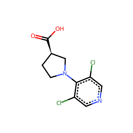 O=C(O)[C@@H]1CCN(c2c(Cl)cncc2Cl)C1